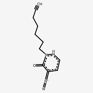 C#CCCCCCn1[nH]ccc(=[N+]=[N-])c1=O